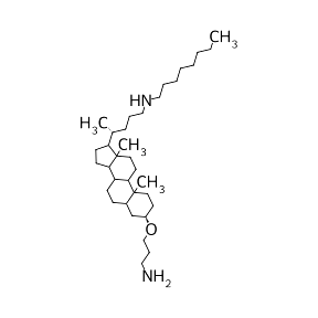 CCCCCCCCNCCC[C@@H](C)C1CCC2C3CCC4C[C@H](OCCCN)CCC4(C)C3CCC21C